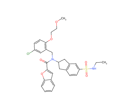 CCNS(=O)(=O)c1ccc2c(c1)CC(N(Cc1cc(Cl)ccc1OCCOC)C(=O)c1cc3ccccc3o1)C2